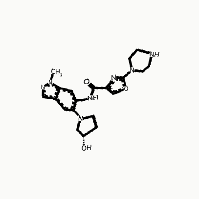 Cn1ncc2cc(N3CC[C@H](O)C3)c(NC(=O)c3coc(N4CCNCC4)n3)cc21